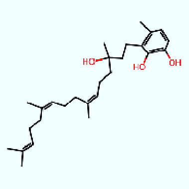 CC(C)=CCCC(C)=CCCC(C)=CCCC(C)(O)CCc1c(C)ccc(O)c1O